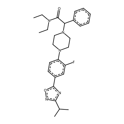 CCN(CC)C(=O)C(c1ccccc1)N1CCN(c2ccc(-c3nc(C(C)C)no3)cc2F)CC1